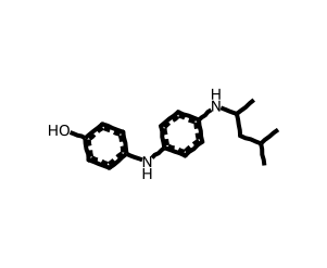 CC(C)CC(C)Nc1ccc(Nc2ccc(O)cc2)cc1